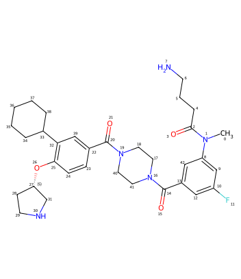 CN(C(=O)CCCN)c1cc(F)cc(C(=O)N2CCN(C(=O)c3ccc(O[C@H]4CCNC4)c(C4CCCCC4)c3)CC2)c1